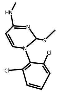 CNC1=NC(SC)N(c2c(Cl)cccc2Cl)C=C1